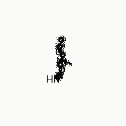 CCCCn1c(-c2cccc(Oc3ccc(-c4ccccc4)cc3)c2)nc2ccc(OCCN3CCNCC3)cc21